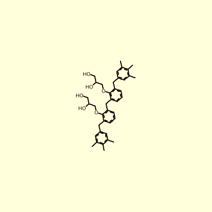 Cc1cc(Cc2cccc(Cc3cccc(Cc4cc(C)c(C)c(C)c4)c3OCC(O)CO)c2OCC(O)CO)cc(C)c1C